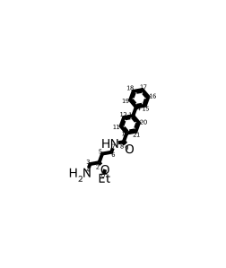 CCOC(CN)CCNC(=O)c1ccc(-c2ccccc2)cc1